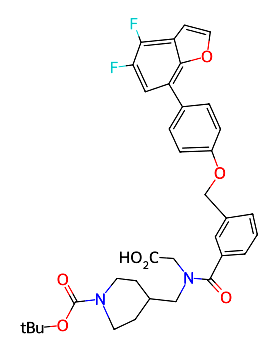 CC(C)(C)OC(=O)N1CCC(CN(CC(=O)O)C(=O)c2cccc(COc3ccc(-c4cc(F)c(F)c5ccoc45)cc3)c2)CC1